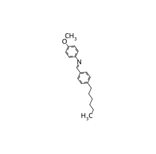 CCCCCCc1ccc(C=Nc2ccc(OC)cc2)cc1